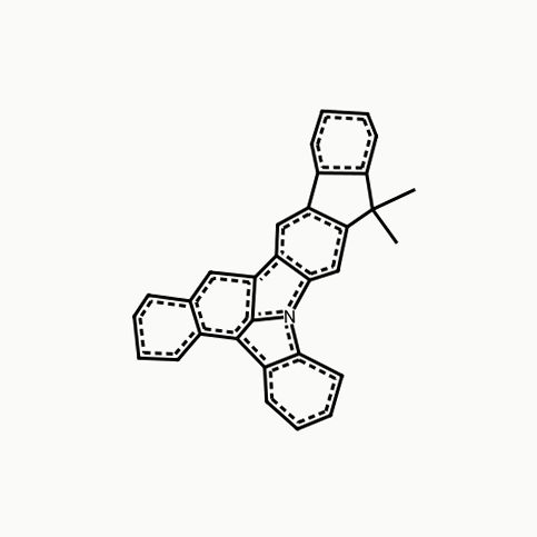 CC1(C)c2ccccc2-c2cc3c4cc5ccccc5c5c6ccccc6n(c3cc21)c45